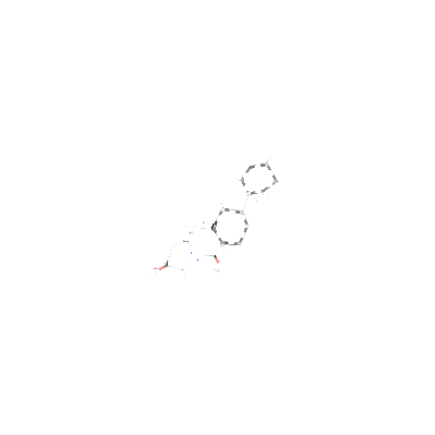 CC(=O)O[C@H]1CC(=O)CN1C(=O)c1ccc(-c2ccccc2)cc1